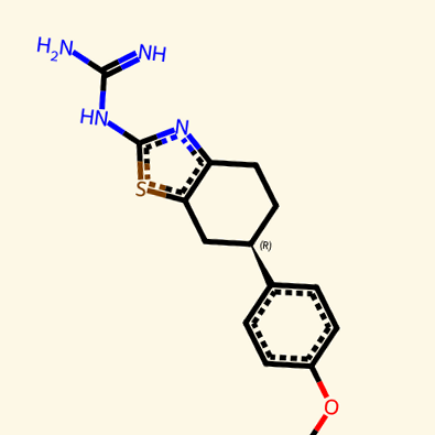 COc1ccc([C@@H]2CCc3nc(NC(=N)N)sc3C2)cc1